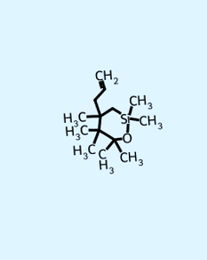 C=CCC1(C)C[Si](C)(C)OC(C)(C)C1(C)C